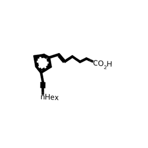 CCCCCCC#Cc1cccc(C=CCCCC(=O)O)c1